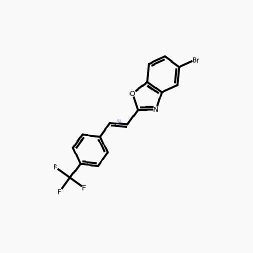 FC(F)(F)c1ccc(/C=C/c2nc3cc(Br)ccc3o2)cc1